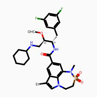 CCc1cn2c3c(cc(C(=O)N[C@@H](Cc4cc(F)cc(F)c4)[C@@H](CNC4CCCCC4)OC=O)cc13)N(C)S(=O)(=O)CC2